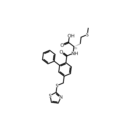 CSCC[C@H](NC(=O)c1ccc(CSc2nccs2)cc1-c1ccccc1)C(=O)O